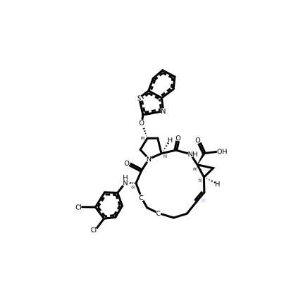 O=C1N[C@]2(C(=O)O)C[C@H]2/C=C\CCCCC[C@H](Nc2ccc(Cl)c(Cl)c2)C(=O)N2C[C@H](Oc3nc4ccccc4s3)C[C@@H]12